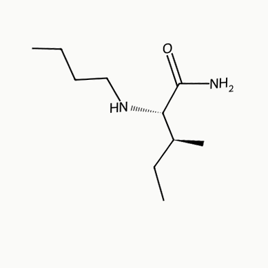 CCCCN[C@H](C(N)=O)[C@@H](C)CC